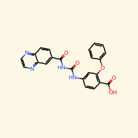 O=C(NC(=O)c1ccc2nccnc2c1)Nc1ccc(C(=O)O)c(Oc2ccccc2)c1